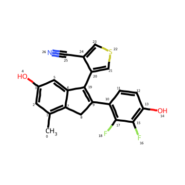 Cc1cc(O)cc2c1CC(c1ccc(O)c(F)c1F)=C2c1cscc1C#N